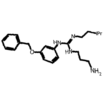 CC(C)CC/N=C(\NCCCN)Nc1cccc(OCc2ccccc2)c1